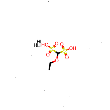 CCOC(S(=O)(=O)O)S(=O)(=O)O.[LiH].[LiH]